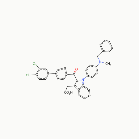 CN(Cc1ccccc1)c1ccc(-n2c(C(=O)c3ccc(-c4ccc(Cl)c(Cl)c4)cc3)c(CC(=O)O)c3ccccc32)cc1